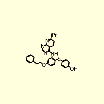 CC(C)c1ccc2c(Nc3cc(OCCc4ccccc4)ccc3Sc3ccc(O)cc3)ncnc2n1